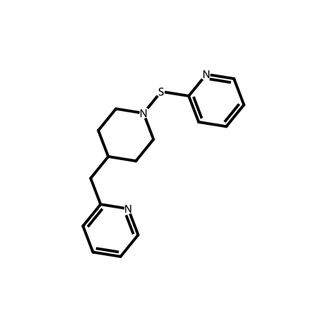 c1ccc(CC2CCN(Sc3ccccn3)CC2)nc1